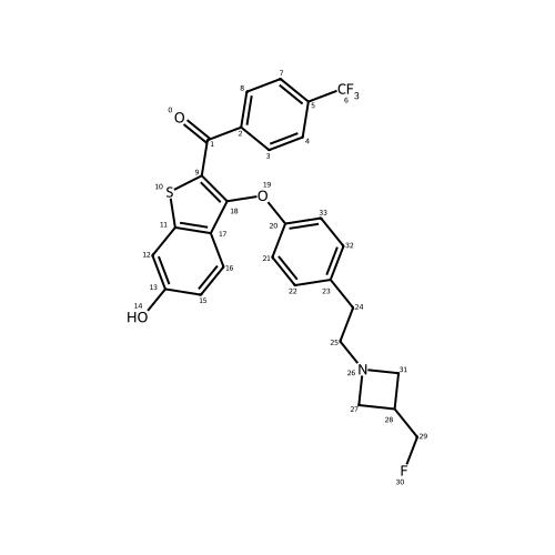 O=C(c1ccc(C(F)(F)F)cc1)c1sc2cc(O)ccc2c1Oc1ccc(CCN2CC(CF)C2)cc1